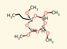 CCC[Si]1(OC)O[SiH](OC)O[SiH](OC)O[SiH](OC)O1